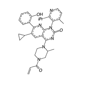 C=CC(=O)N1CCN(c2nc(=O)n(-c3c(C)ccnc3C(C)C)c3nc(-c4ccccc4O)c(C4CC4)cc23)C(C)C1